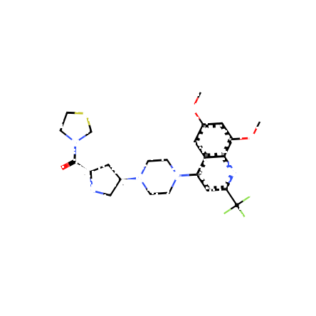 COc1cc(OC)c2nc(C(F)(F)F)cc(N3CCN([C@H]4CN[C@@H](C(=O)N5CCSC5)C4)CC3)c2c1